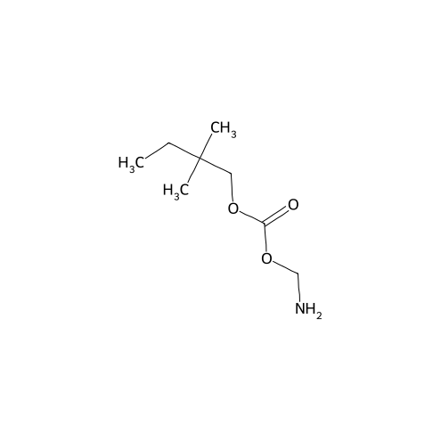 CCC(C)(C)COC(=O)OCN